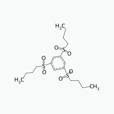 CCCCS(=O)(=O)c1cc(S(=O)(=O)CCCC)cc(S(=O)(=O)CCCC)c1